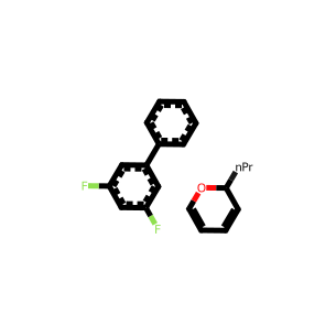 CCCC1C=CC=CO1.Fc1cc(F)cc(-c2ccccc2)c1